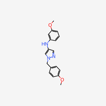 COc1ccc(Cn2cc(Nc3cccc(OC)c3)cn2)cc1